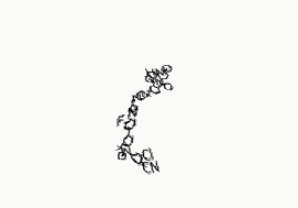 CC1(C)C(=O)N(c2ccc(C#N)c(Cl)c2)c2ccc(-c3ccc(N4CC(CN5CCN(c6ccc7c(c6)C(=O)N(C6CCC(=O)NC6=O)C7=O)CC5)C4)c(F)c3)cc21